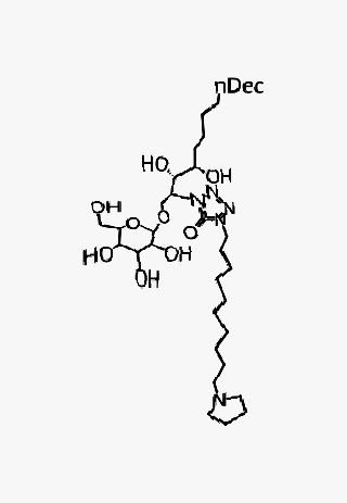 CCCCCCCCCCCCCC[C@@H](O)[C@@H](O)[C@H](COC1OC(CO)C(O)C(O)C1O)n1nnn(CCCCCCCCCCN2CCCC2)c1=O